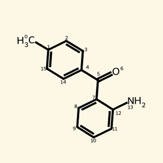 Cc1ccc(C(=O)c2ccccc2N)cc1